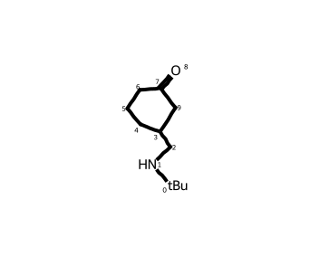 CC(C)(C)NCC1CCCC(=O)C1